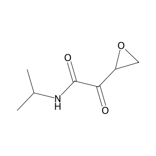 CC(C)NC(=O)C(=O)C1CO1